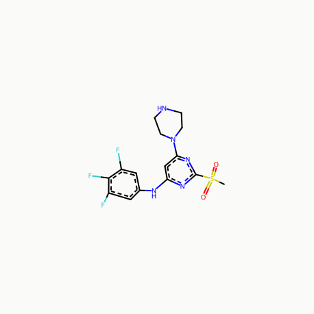 CS(=O)(=O)c1nc(Nc2cc(F)c(F)c(F)c2)cc(N2CCNCC2)n1